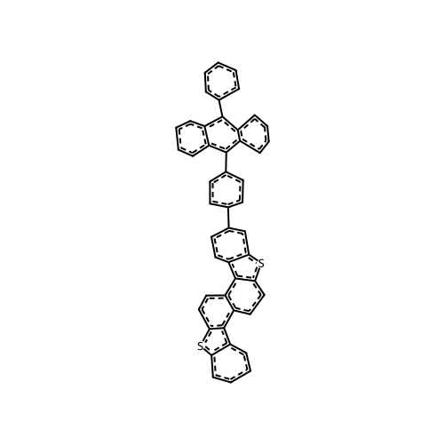 c1ccc(-c2c3ccccc3c(-c3ccc(-c4ccc5c(c4)sc4ccc6c(ccc7sc8ccccc8c76)c45)cc3)c3ccccc23)cc1